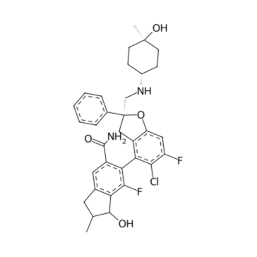 CC1Cc2cc(C(N)=O)c(-c3c(Cl)c(F)cc4c3C[C@@](CN[C@H]3CC[C@](C)(O)CC3)(c3ccccc3)O4)c(F)c2C1O